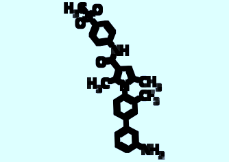 Cc1cc(C(=O)Nc2ccc(S(C)(=O)=O)cc2)c(C)n1-c1ccc(-c2cccc(N)c2)cc1C(F)(F)F